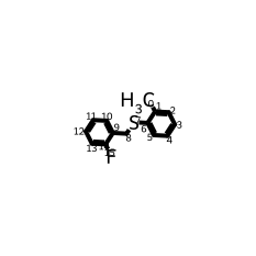 Cc1ccccc1SCc1ccccc1F